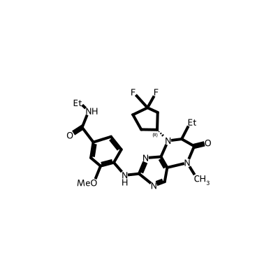 CCNC(=O)c1ccc(Nc2ncc3c(n2)N([C@@H]2CCC(F)(F)C2)C(CC)C(=O)N3C)c(OC)c1